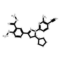 COC(=O)c1cc(C2=NN(c3ccc(C#N)c(C)n3)C(C3CCCC3)C2)ccc1OC